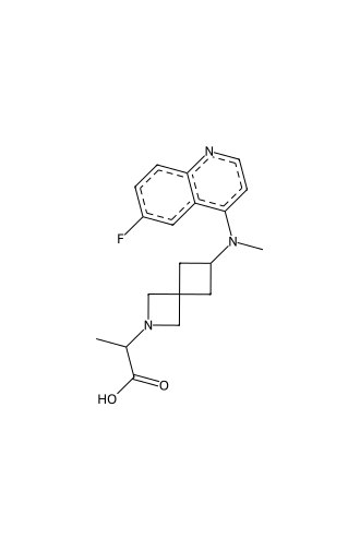 CC(C(=O)O)N1CC2(CC(N(C)c3ccnc4ccc(F)cc34)C2)C1